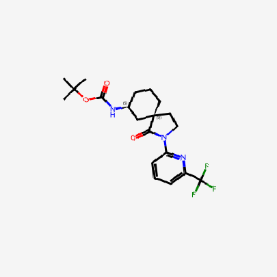 CC(C)(C)OC(=O)N[C@H]1CCC[C@]2(CCN(c3cccc(C(F)(F)F)n3)C2=O)C1